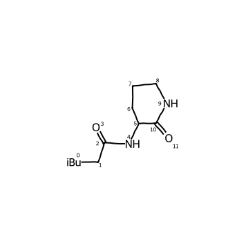 CCC(C)CC(=O)NC1CCCNC1=O